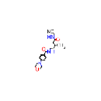 CC(CCNC(=O)c1ccc(N2CCOCC2)cc1)CC(=O)NCC#N